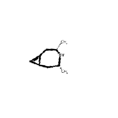 C[C@@H]1CC2C=C2C[C@H](C)N1